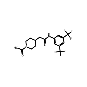 O=C(CC1CCN(C(=O)O)CC1)Nc1cc(C(F)(F)F)cc(C(F)(F)F)c1